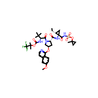 CC[C@@H]1C[C@]1(NC(=O)[C@@H]1C[C@@H](Oc2nccc3cc(OC)ccc23)CN1C(=O)[C@@H](NC(=O)OC(C)(C)C(F)(F)F)C(C)(C)C)C(=O)NS(=O)(=O)OC1(C)CC1